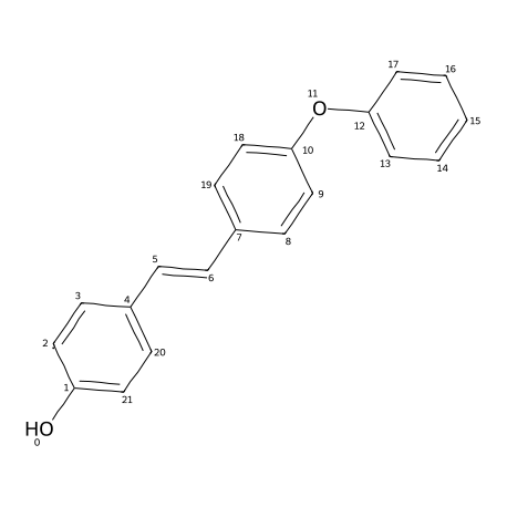 Oc1[c]cc(C=Cc2ccc(Oc3ccccc3)cc2)cc1